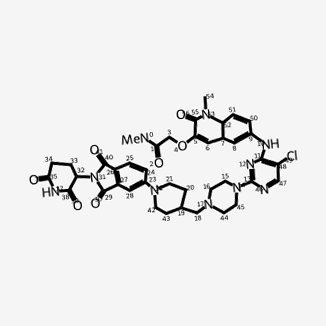 CNC(=O)COC1=CC2C=C(Nc3nc(N4CCN(CC5CCN(c6ccc7c(c6)C(=O)N(C6CCC(=O)NC6=O)C7=O)CC5)CC4)ncc3Cl)C=CC2N(C)C1=O